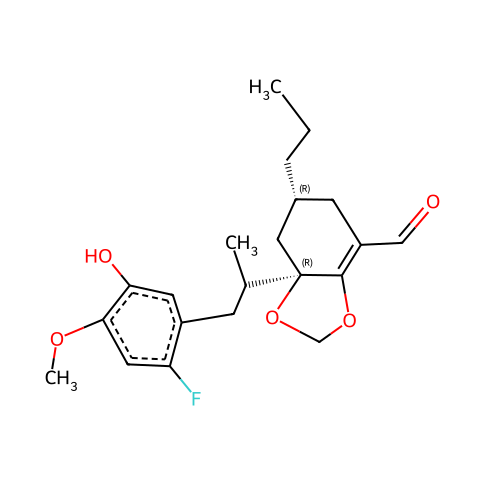 CCC[C@@H]1CC(C=O)=C2OCO[C@@]2(C(C)Cc2cc(O)c(OC)cc2F)C1